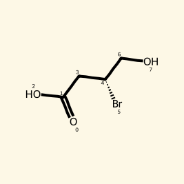 O=C(O)C[C@@H](Br)CO